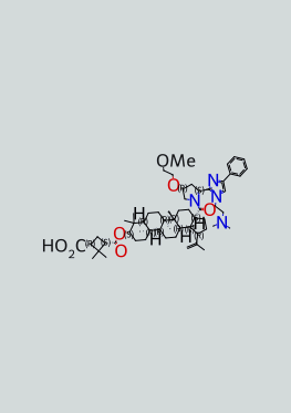 C=C(C)[C@@H]1CC[C@]2(C(=O)N3C[C@H](OCCOC)C[C@H]3c3nc(-c4ccccc4)cn3CCN(C)C)CC[C@]3(C)[C@H](CC[C@@H]4[C@@]5(C)CC[C@H](OC(=O)[C@H]6C[C@@H](C(=O)O)C6(C)C)C(C)(C)[C@@H]5CC[C@]43C)[C@@H]12